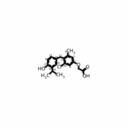 Cc1cc(OCC(=O)O)cc(Cl)c1Cc1ccc(O)c(C(C)C)c1